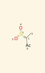 CC(=O)C(C)=S(=O)=O